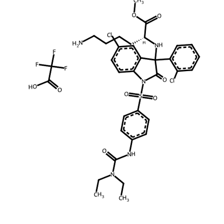 CCN(CC)C(=O)Nc1ccc(S(=O)(=O)N2C(=O)C(N[C@H](CCCCN)C(=O)OC)(c3ccccc3Cl)c3cc(Cl)ccc32)cc1.O=C(O)C(F)(F)F